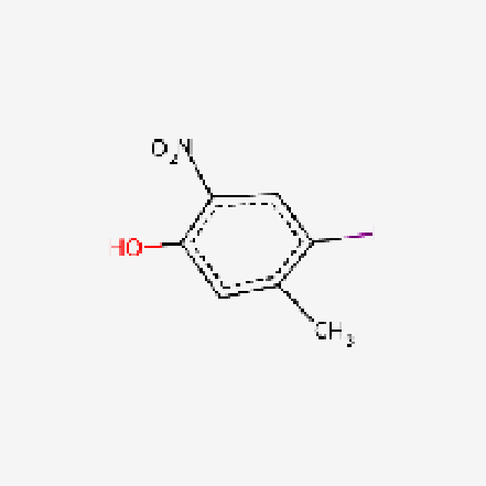 Cc1cc(O)c([N+](=O)[O-])cc1I